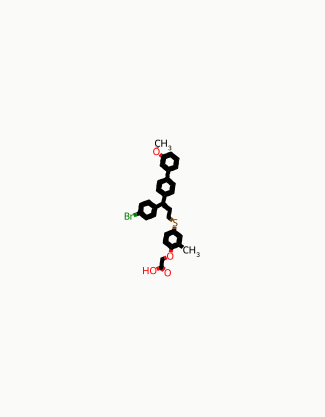 COc1cccc(-c2ccc(/C(=C/CSc3ccc(OCC(=O)O)c(C)c3)c3ccc(Br)cc3)cc2)c1